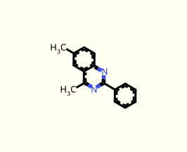 Cc1ccc2nc(-c3ccccc3)nc(C)c2c1